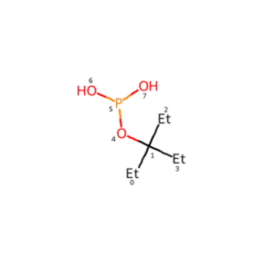 CCC(CC)(CC)OP(O)O